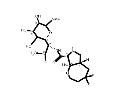 CSC1O[C@H]([C@H](NC(=O)[C@H]2NC[C@@H]3CC(F)(F)CCO[C@H]32)[C@H](C)Cl)C(O)[C@@H](O)[C@H]1O